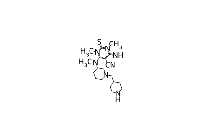 CN(c1c(C#N)c(=N)n(C)c(=S)n1C)C1CCCN(CC2CCNCC2)C1